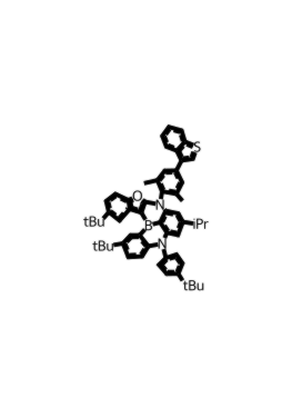 Cc1cc(-c2csc3ccccc23)cc(C)c1N1c2cc(C(C)C)cc3c2B(c2cc(C(C)(C)C)ccc2N3c2ccc(C(C)(C)C)cc2)c2c1oc1ccc(C(C)(C)C)cc21